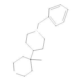 CC1(C2CCN(Cc3ccccc3)CC2)CCOCC1